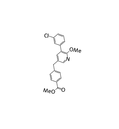 COC(=O)c1ccc(Cc2cnc(OC)c(-c3cccc(Cl)c3)c2)cc1